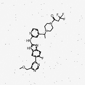 COCc1cc(-c2cc3[nH]c(Nc4cc(C(C)N5CCN(C(=O)CC(F)(F)F)CC5)ccn4)nc3cc2F)ncn1